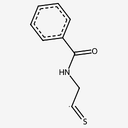 O=C(NC[C]=S)c1ccccc1